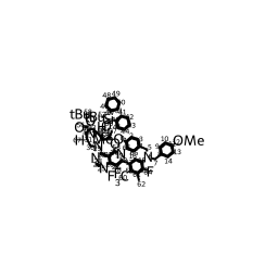 COc1ccc(CN(Cc2ccc(OC)cc2)c2cc(-c3nc4c5c(ncnc5c3F)N3C[C@H]5CC[C@@H]([C@H]3C(CO[Si](c3ccccc3)(c3ccccc3)C(C)(C)C)O4)N5C(=O)OC(C)(C)C)c(C(F)(F)F)c(C)c2F)cc1